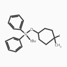 CC1(I)CCC(O[Si](c2ccccc2)(c2ccccc2)C(C)(C)C)CC1